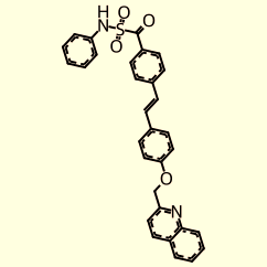 O=C(c1ccc(C=Cc2ccc(OCc3ccc4ccccc4n3)cc2)cc1)S(=O)(=O)Nc1ccccc1